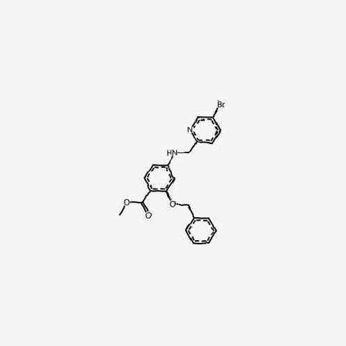 COC(=O)c1ccc(NCc2ccc(Br)cn2)cc1OCc1ccccc1